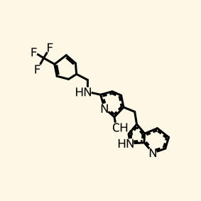 Cc1nc(NCC2C=CC(C(F)(F)F)=CC2)ccc1Cc1c[nH]c2ncccc12